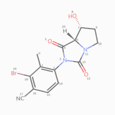 Cc1c(N2C(=O)[C@@H]3[C@H](O)CCN3C2=O)ccc(C#N)c1Br